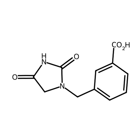 O=C1CN(Cc2cccc(C(=O)O)c2)C(=O)N1